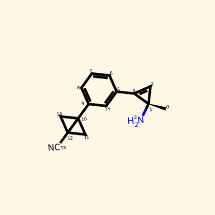 C[C@]1(N)C=C1c1cccc(C23CC2(C#N)C3)c1